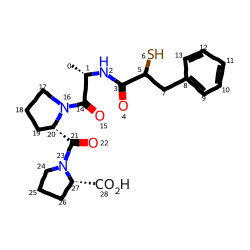 C[C@H](NC(=O)C(S)Cc1ccccc1)C(=O)N1CCC[C@H]1C(=O)N1CCC[C@H]1C(=O)O